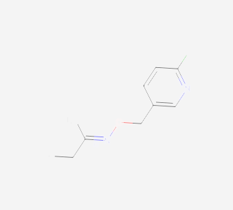 CC/C(C)=N/OCc1ccc(Cl)nc1